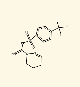 N=C(NS(=O)(=O)c1ccc(C(F)(F)F)cc1)N1CCCC=N1